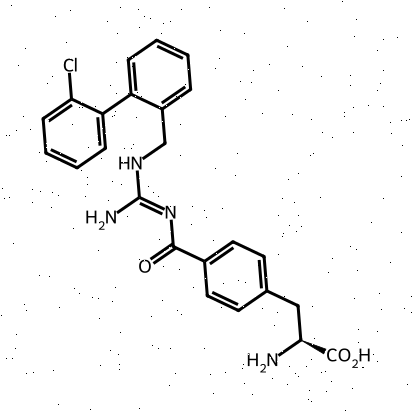 N/C(=N\C(=O)c1ccc(C[C@H](N)C(=O)O)cc1)NCc1ccccc1-c1ccccc1Cl